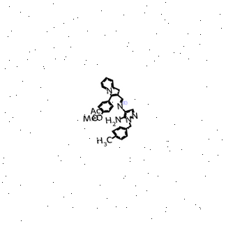 CC(=O)[O-].COc1ccc(C2=C(/C=N/c3cnn(Cc4ccc(C)cc4)c3N)Cc3cccc[n+]32)cc1